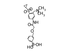 CN(C)Cc1cc(NC(=O)COCc2cccc(B(O)O)c2)ccc1S(=O)(=O)C1CC1